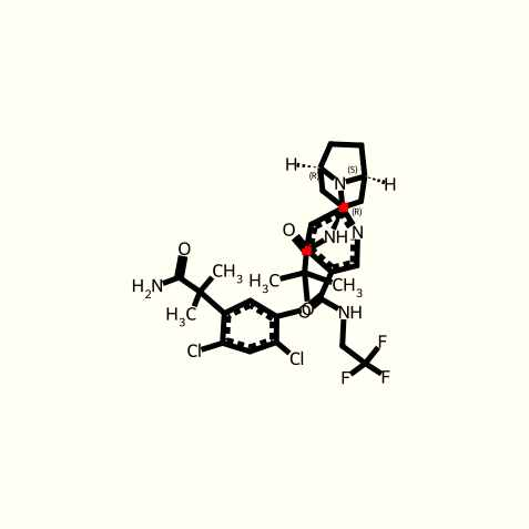 CC(C)(Oc1cc(C(C)(C)C(N)=O)c(Cl)cc1Cl)C(=O)N[C@H]1C[C@H]2CC[C@@H](C1)N2c1ccc(C(=O)NCC(F)(F)F)cn1